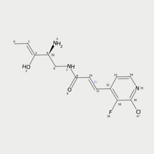 CC=C(O)[C@@H](N)CNC(=O)/C=C/c1ccnc(Cl)c1F